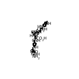 Cc1cc2cc(NC(=O)CC3CN3C(=O)[C@H](CC(=O)O)NC(=O)[C@H](CC(=O)O)NC(=O)C[C@H](NC(=O)c3ccc(NCc4cnc5nc(N)[nH]c(=O)c5n4)cc3)C(=O)O)ccc2[nH]1